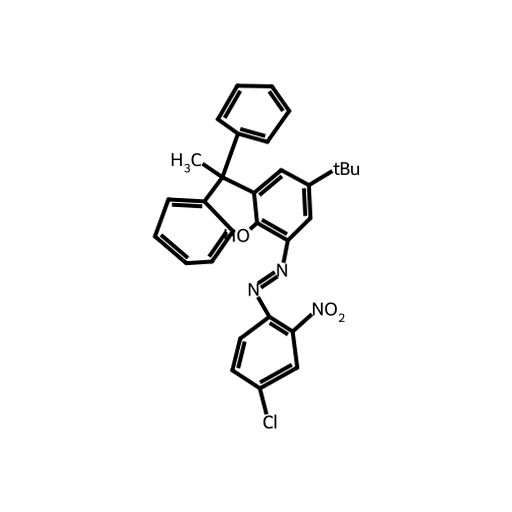 CC(C)(C)c1cc(N=Nc2ccc(Cl)cc2[N+](=O)[O-])c(O)c(C(C)(c2ccccc2)c2ccccc2)c1